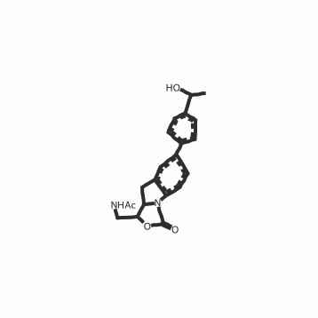 CC(=O)NCC1OC(=O)N2c3ccc(-c4ccc(C(C)O)cc4)cc3CC12